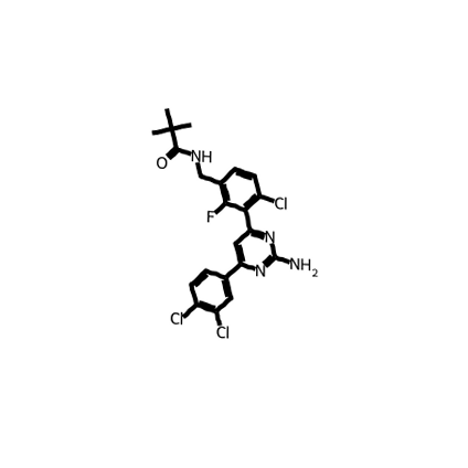 CC(C)(C)C(=O)NCc1ccc(Cl)c(-c2cc(-c3ccc(Cl)c(Cl)c3)nc(N)n2)c1F